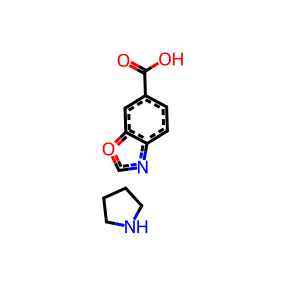 C1CCNC1.O=C(O)c1ccc2ncoc2c1